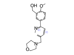 C=C(/C=C\C(=N/C)c1ccc(OC)c(CO)c1)CN1CCOCC1